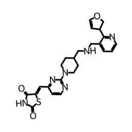 O=C1NC(=O)/C(=C/c2ccnc(N3CCC(CNCc4cccnc4C4C=COC4)CC3)n2)S1